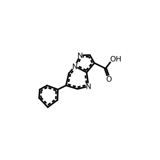 O=C(O)c1cnn2cc(-c3ccccc3)cnc12